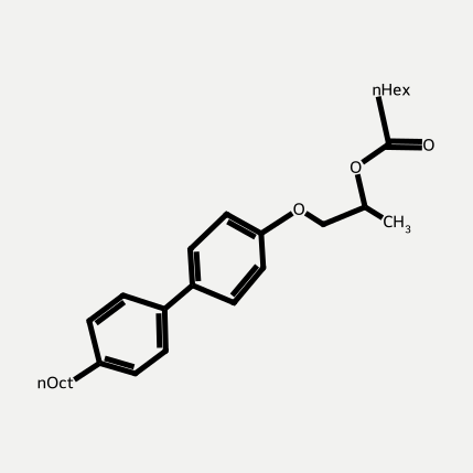 CCCCCCCCc1ccc(-c2ccc(OCC(C)OC(=O)CCCCCC)cc2)cc1